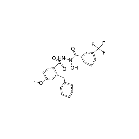 COc1ccc(S(=O)(=O)NN(O)C(=O)c2cccc(C(F)(F)F)c2)c(Cc2ccccc2)c1